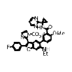 CCNc1cc2oc(-c3ccc(F)cc3)c(-c3nccn3C(=O)O)c2cc1-c1ccc(OC)c(C(=O)NC2(c3ncccn3)CC2)c1